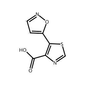 O=C(O)c1ncsc1-c1[c][c]no1